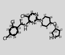 C[C@@H](Nc1nc(N2CCC(O[C@H]3CCNC3)CC2)ncc1Cl)c1ccc(Cl)cc1Cl